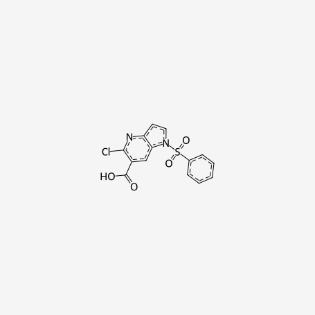 O=C(O)c1cc2c(ccn2S(=O)(=O)c2ccccc2)nc1Cl